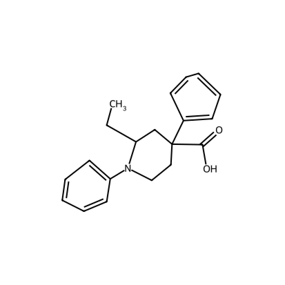 CCC1CC(C(=O)O)(c2ccccc2)CCN1c1ccccc1